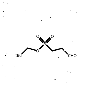 CC(C)(C)COS(=O)(=O)CCC=O